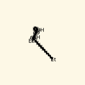 CCC=CCC=CCC=CCC=CCC=CCCCCS[C@H](CC)C(=O)NCCOC(=O)c1ccccc1O